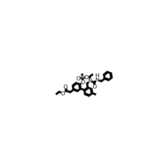 CCOC(=O)Cc1ccc(OS(C)(=O)=O)c(-c2ccc(C)cc2CN(CC)C(=O)NCc2ccccc2)c1